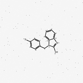 Fc1ccc(Cn2c(S)nc3ccccc32)cc1